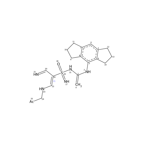 C=C(Nc1c2c(cc3c1CCC3)CCC2)NS(=N)(=O)/C(C=N)=C/NCC(C)=O